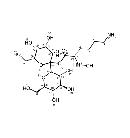 NCCCC[C@H](NO)C(=O)OC1(C2O[C@H](CO)[C@@H](O)[C@H](O)[C@H]2O)O[C@H](CO)[C@H](O)[C@H](O)[C@H]1O